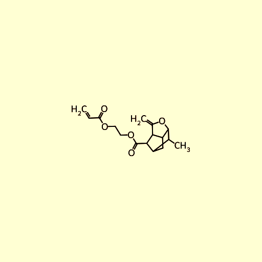 C=CC(=O)OCCOC(=O)C1C2CC3C(OC(=C)C31)C2C